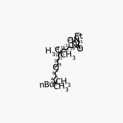 CCCCC(C)(C)CCCCOCCCCC(C)(C)CCCCN1C(=O)CN(CC)C1=O